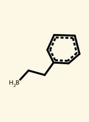 BCCc1ccccc1